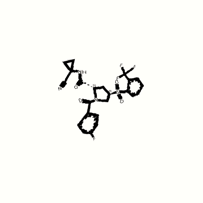 N#CC1(NC(=O)[C@@H]2C[C@@H](S(=O)(=O)c3ccccc3C(F)(F)F)CN2C(=O)c2ccc(F)cc2)CC1